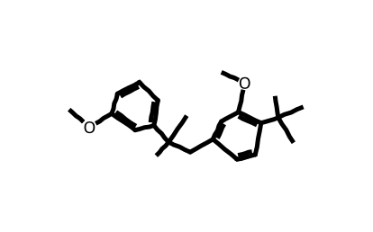 COc1cccc(C(C)(C)Cc2ccc(C(C)(C)C)c(OC)c2)c1